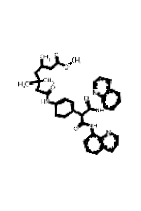 COC(=O)CC(C)CC(C)(C)CC(=O)NC1=CC=C(C(C(=O)Nc2cccc3cccnc23)C(=O)Nc2cccc3cccnc23)CC1